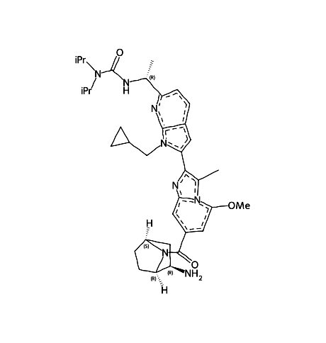 COc1cc(C(=O)N2[C@H]3CC[C@@H]2[C@H](N)C3)cc2nc(-c3cc4ccc([C@@H](C)NC(=O)N(C(C)C)C(C)C)nc4n3CC3CC3)c(C)n12